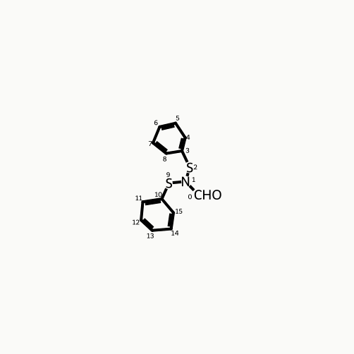 O=CN(Sc1ccccc1)Sc1ccccc1